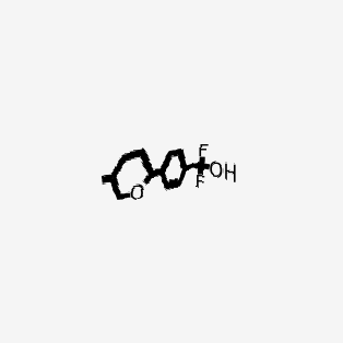 CC1CCC(c2ccc(C(O)(F)F)cc2)OC1